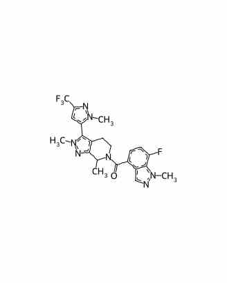 CC1c2nn(C)c(-c3cc(C(F)(F)F)nn3C)c2CCN1C(=O)c1ccc(F)c2c1cnn2C